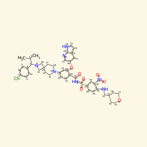 CC(C)C(c1ccc(Cl)cc1)N1CC2(CCN(c3ccc(C(=O)NS(=O)(=O)c4ccc(NCC5CCOCC5)c([N+](=O)[O-])c4)c(Oc4cnc5[nH]ccc5c4)c3)CC2)C1